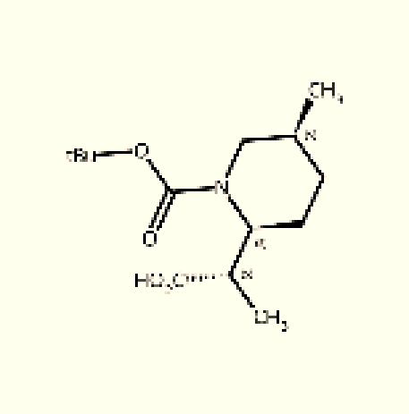 C[C@H]1CC[C@@H]([C@H](C)C(=O)O)N(C(=O)OC(C)(C)C)C1